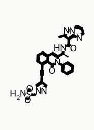 Cc1nn2cccnc2c1C(=O)N[C@@H](C)c1cc2cccc(C#Cc3cnn(CS(N)(=O)=O)c3)c2c(=O)n1-c1ccccc1